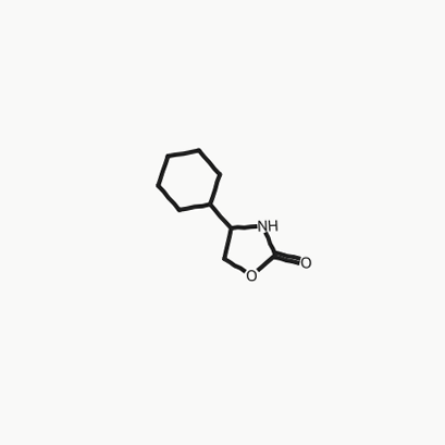 O=C1NC(C2CCCCC2)CO1